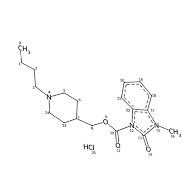 CCCCN1CCC(COC(=O)n2c(=O)n(C)c3ccccc32)CC1.Cl